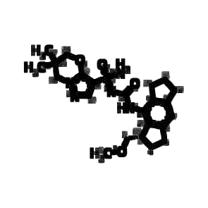 COC[C@H]1CCc2cc3c(c(NC(=O)N=S(N)(=O)c4cnn5c4OCC(C)(C)C5)c21)CCC3